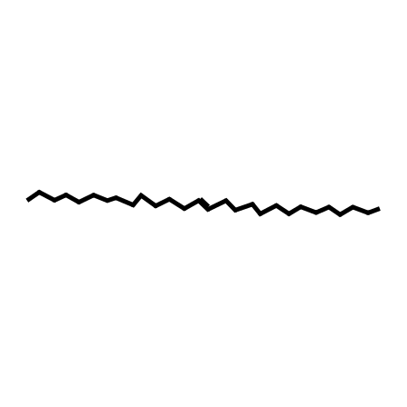 CCCCCCCCCCCCCC=CCCCCCCCCCCCCC